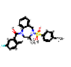 COc1ccc(S(=O)(=O)N2Cc3ccccc3N(C(=O)c3cc(F)ccc3C)CC2C(=O)O)cc1